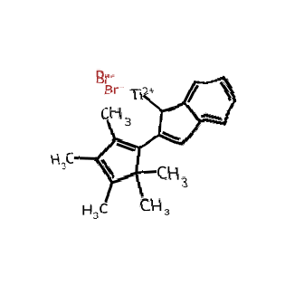 CC1=C(C)C(C)(C)C(C2=Cc3ccccc3[CH]2[Ti+2])=C1C.[Br-].[Br-]